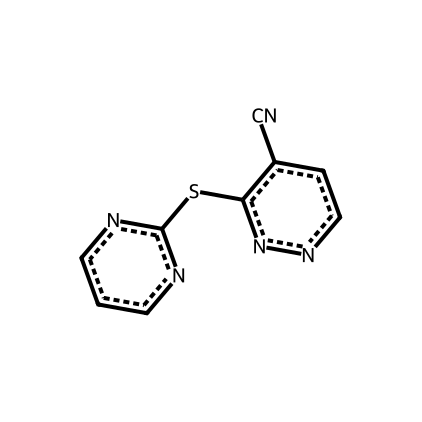 N#Cc1ccnnc1Sc1ncccn1